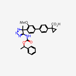 COc1cc(-c2ccc(C3(C(=O)O)CC3)cc2)ccc1C1(C)N=NN=C1NC(=O)OC(C)c1ccccc1